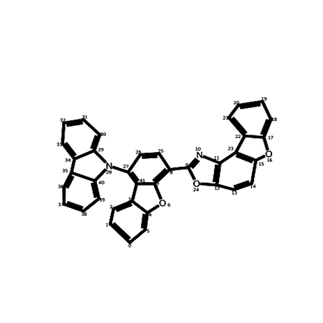 c1ccc2c(c1)oc1c(-c3nc4c(ccc5oc6ccccc6c54)o3)ccc(-n3c4ccccc4c4ccccc43)c12